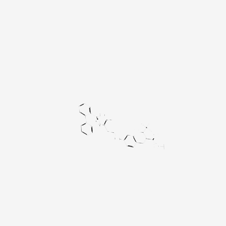 Cc1oc(-c2ccccc2-c2ccccc2)nc1CCOc1ccc2c(c1)OC(C(C)(C)C)C(C(=O)O)C2